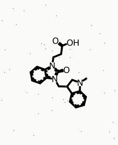 CN1CC(Cn2c(=O)n(CCC(=O)O)c3ccccc32)c2ccccc21